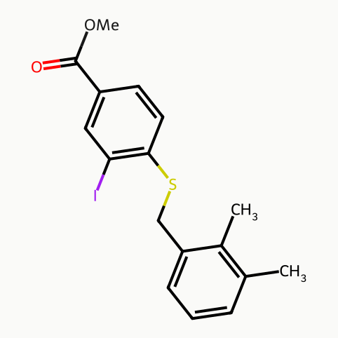 COC(=O)c1ccc(SCc2cccc(C)c2C)c(I)c1